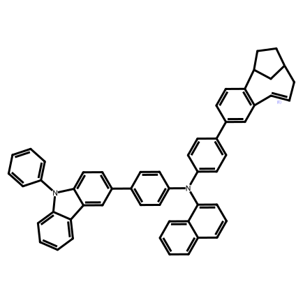 C1=C/c2cc(-c3ccc(N(c4ccc(-c5ccc6c(c5)c5ccccc5n6-c5ccccc5)cc4)c4cccc5ccccc45)cc3)ccc2C2CCC(C/1)C2